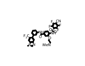 CNCCOc1cc(C(=O)Nc2cccc(-c3cc4ncn(C)c4cc3C(F)(F)F)c2)ccc1NS(=O)(=O)c1c(F)c(F)c(C#N)c(F)c1F